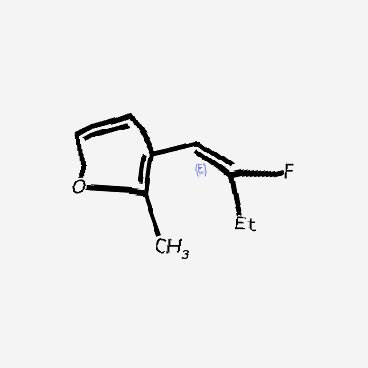 CC/C(F)=C\c1ccoc1C